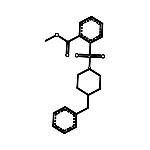 COC(=O)c1ccccc1S(=O)(=O)N1CCC(Cc2ccccc2)CC1